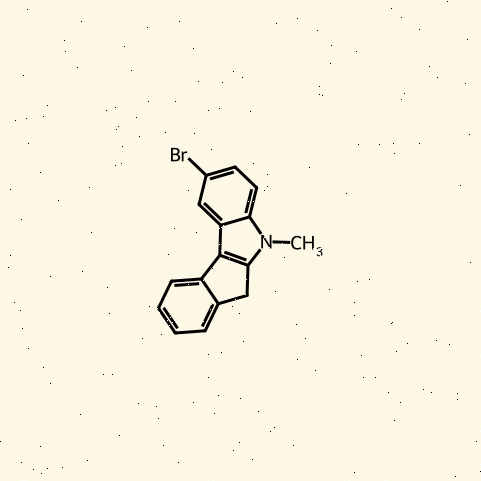 Cn1c2c(c3cc(Br)ccc31)-c1ccccc1C2